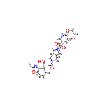 Cc1nc2c([C@H](O)C(=O)N3Cc4cn(S(=O)(=O)c5cnc6c(c5)OCCO6)cc4C3)cccc2o1